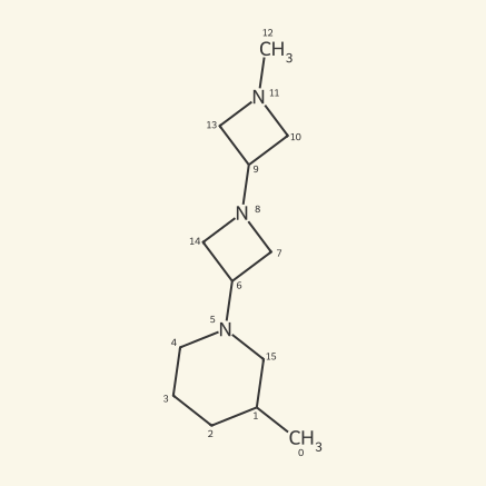 CC1CCCN(C2CN(C3CN(C)C3)C2)C1